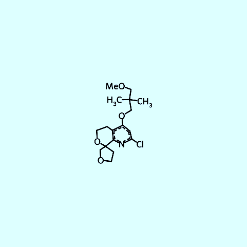 COCC(C)(C)COc1cc(Cl)nc2c1CCOC21CCOC1